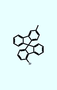 Cc1ccc2c(c1)-c1ccccc1C21c2ccccc2-c2c(Br)cccc21